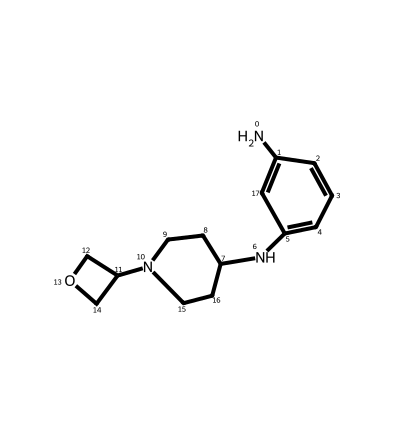 Nc1cccc(NC2CCN(C3COC3)CC2)c1